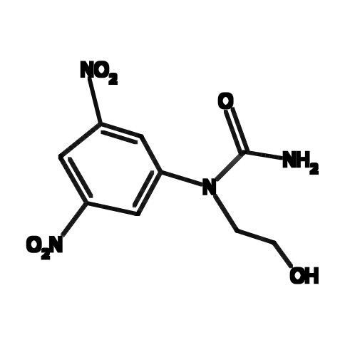 NC(=O)N(CCO)c1cc([N+](=O)[O-])cc([N+](=O)[O-])c1